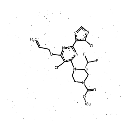 C=CCOc1nc(-c2scnc2Cl)nc(N2CCN(C(=O)OC(C)(C)C)C[C@H]2C(F)F)c1Cl